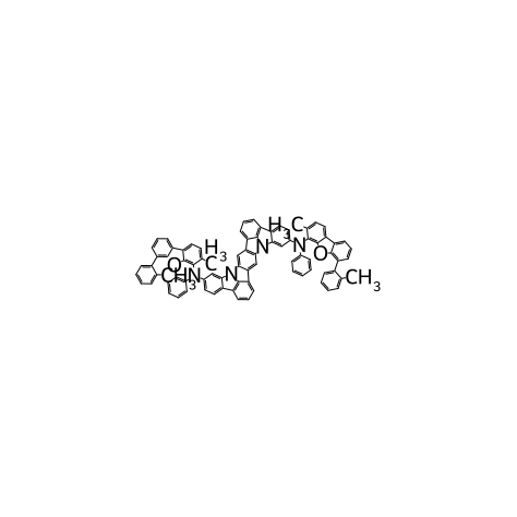 Cc1ccccc1-c1cccc2c1oc1c(N(c3ccccc3)c3ccc4c5cccc6c7cc8c(cc7n(c4c3)c56)c3cccc4c5ccc(N(c6ccccc6)c6c(C)ccc7c6oc6c(-c9ccccc9C)cccc67)cc5n8c43)c(C)ccc12